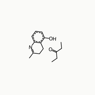 CC1=Nc2cccc(O)c2CC1.CCC(=O)CC